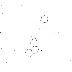 O=C(CCCNc1ccccc1)OC1Cc2cccc3cccc1c23